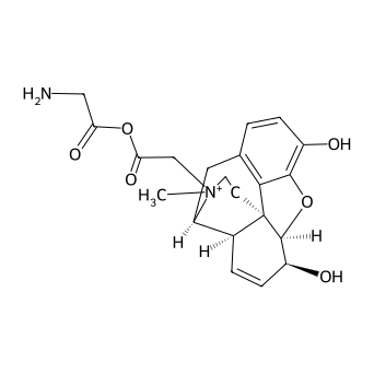 C[N+]1(CC(=O)OC(=O)CN)CC[C@]23c4c5ccc(O)c4O[C@H]2[C@@H](O)C=C[C@H]3[C@H]1C5